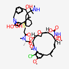 CNC(C)(C)C12CC3CCCC(C)(C1)C3(SCCC(=O)N(C)[C@@H](C)C(=O)O[C@H]1CC(=O)N(C)c3cc(cc(OC)c3Cl)C/C(C)=C/C=C/[C@@H](OC)[C@@]3(O)C[C@H](OC(=O)N3)C3(C)C[C@@]1(C)O3)c1cc(O)n(c1O)Cc1ccc(cc1)C2O